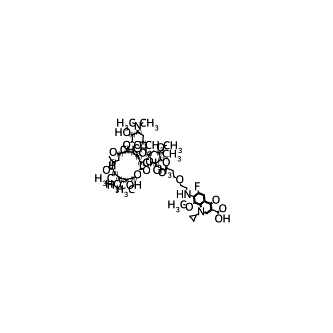 CC[C@H]1OC(=O)[C@H](C)[C@@H](O[C@H]2C[C@@](C)(OC)[C@@H](OC(=O)CCOCCNc3c(F)cc4c(=O)c(C(=O)O)cn(C5CC5)c4c3OC)[C@H](C)O2)[C@H](C)[C@@H](OC2O[C@H](C)C[C@H](N(C)C)[C@H]2O)[C@@]2(C)C[C@@H](CO2)C(=O)[C@H](C)[C@@H](O)[C@]1(C)O